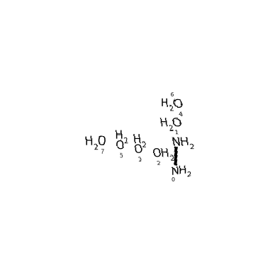 NN.O.O.O.O.O.O